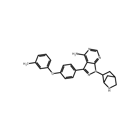 Cc1cccc(Oc2ccc(-c3nn(C4CC5CNC4C5)c4ncnc(N)c34)cc2)c1